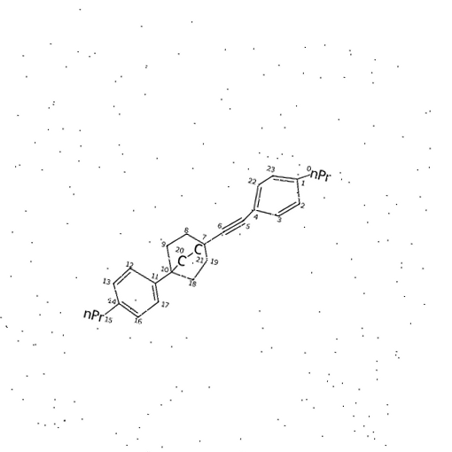 CCCc1ccc(C#CC23CCC(c4ccc(CCC)cc4)(CC2)CC3)cc1